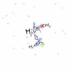 Cc1nc(NC2CCN(Cc3ccc4c(cc(C#N)n4C[C@@H](C)N4CCN(S(C)(=O)=O)CC4)c3C)CC2)c2cc(CC(F)(F)F)sc2n1